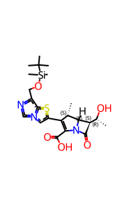 C[C@@H](O)[C@H]1C(=O)N2C(C(=O)O)=C(c3cn4cnc(CO[Si](C)(C)C(C)(C)C)c4s3)[C@H](C)[C@H]12